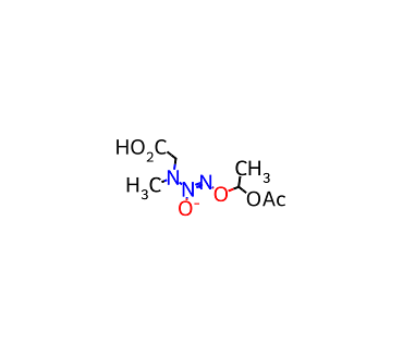 CC(=O)OC(C)ON=[N+]([O-])N(C)CC(=O)O